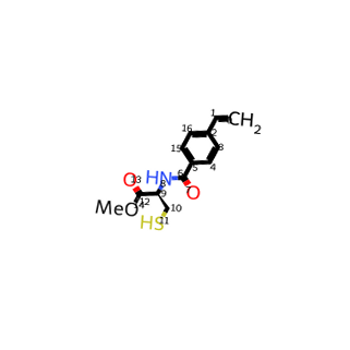 C=Cc1ccc(C(=O)N[C@@H](CS)C(=O)OC)cc1